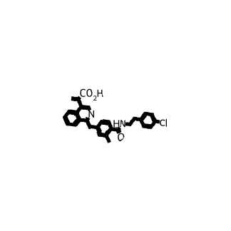 Cc1cc(Cc2ncc(C(C)C(=O)O)c3ccccc23)ccc1C(=O)NCCc1ccc(Cl)cc1